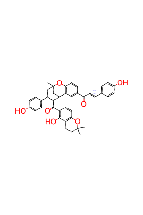 CC1(C)CCc2c(ccc(C(=O)C3C(c4ccc(O)cc4)CC4(C)CC3c3cc(C(=O)/C=C/c5ccc(O)cc5)ccc3O4)c2O)O1